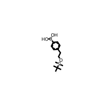 CC(C)(C)[Si](C)(C)OCCc1ccc(B(O)O)cc1